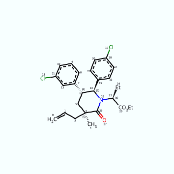 C=CC[C@@]1(C)C[C@H](c2cccc(Cl)c2)[C@@H](c2ccc(Cl)cc2)N([C@@H](CC)C(=O)OCC)C1=O